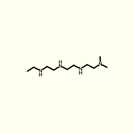 [CH2]CNCCNCCNCCN(C)C